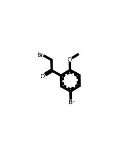 COc1ccc(Br)cc1C(=O)CBr